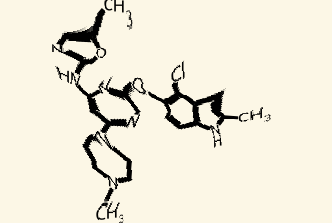 Cc1cc2c(Cl)c(Oc3nc(Nc4ncc(C)o4)cc(N4CCN(C)CC4)n3)ccc2[nH]1